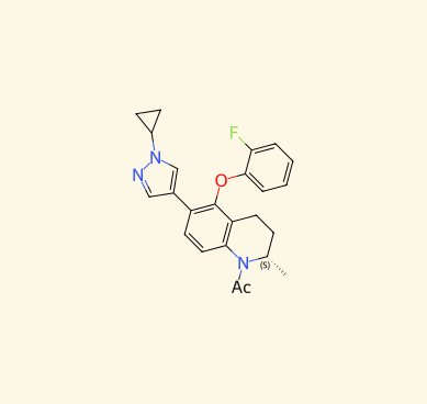 CC(=O)N1c2ccc(-c3cnn(C4CC4)c3)c(Oc3ccccc3F)c2CC[C@@H]1C